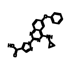 O=C(O)c1cnn(-c2nc(NC3CC3)c3cc(Oc4ccccc4)ccc3n2)c1